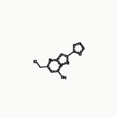 Oc1cc(CCl)nc2cc(-c3ccco3)nn12